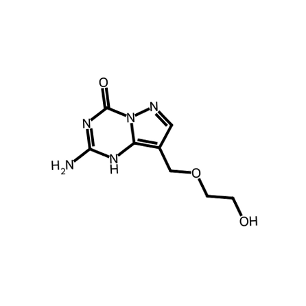 Nc1nc(=O)n2ncc(COCCO)c2[nH]1